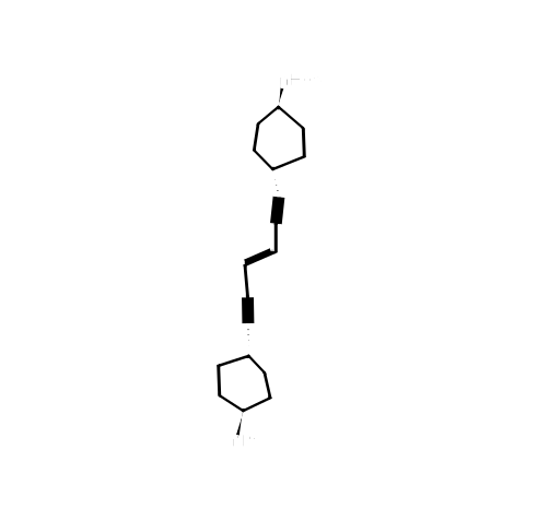 CCCCCCC[C@H]1CC[C@H](C#C/C=C/C#C[C@H]2CC[C@H](CCC)CC2)CC1